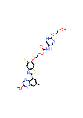 COc1cnc2c(-c3nc4cc(F)c(OCCOC(=O)Nc5cnc(OCCO)nc5)cc4s3)cc(C)cc2n1